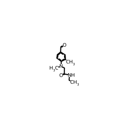 CCNC(=O)CN(C)c1ccc(C=O)cc1C